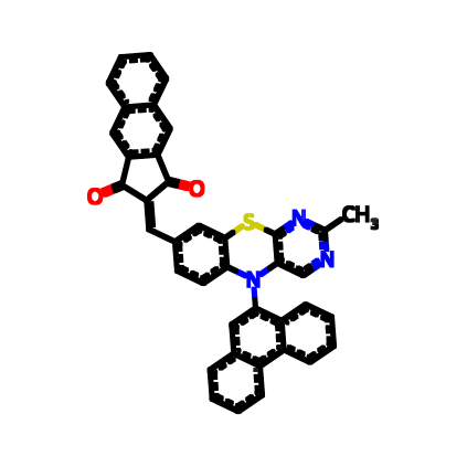 Cc1ncc2c(n1)Sc1cc(C=C3C(=O)c4cc5ccccc5cc4C3=O)ccc1N2c1cc2ccccc2c2ccccc12